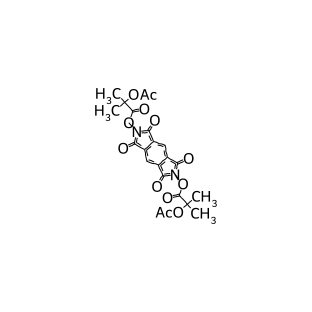 CC(=O)OC(C)(C)C(=O)On1c(=O)c2cc3c(=O)n(OC(=O)C(C)(C)OC(C)=O)c(=O)c3cc2c1=O